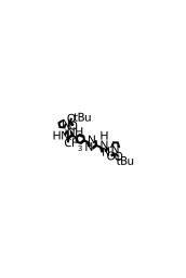 CC(C)(C)OC(=O)N1CCC[C@H]1c1ncc(-c2cnc(-c3ccc(C4=C(C(F)(F)F)NC([C@@H]5CCCN5C(=O)OC(C)(C)C)N4)cc3)nc2)[nH]1